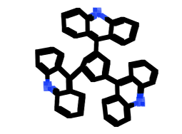 c1ccc2c(-c3cc(-c4c5ccccc5nc5ccccc45)cc(-c4c5ccccc5nc5ccccc45)c3)c3ccccc3nc2c1